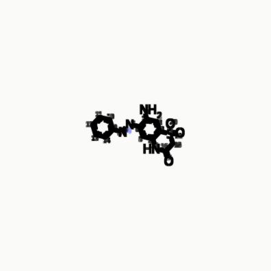 Nc1cc2c(cc1/N=N/c1ccccc1)NC(=O)CS2(=O)=O